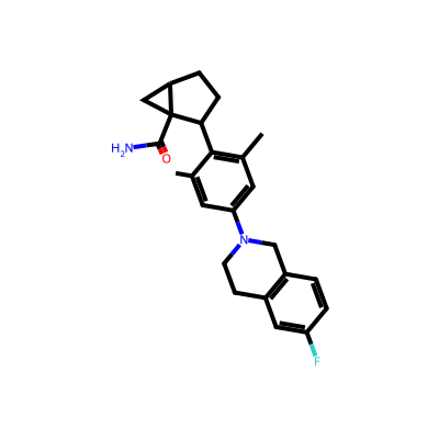 Cc1cc(N2CCc3cc(F)ccc3C2)cc(C)c1C1CCC2CC21C(N)=O